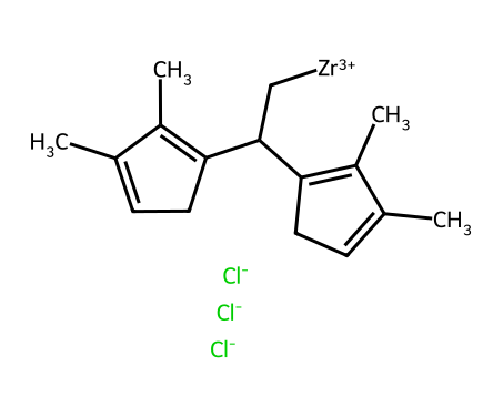 CC1=CCC(C([CH2][Zr+3])C2=C(C)C(C)=CC2)=C1C.[Cl-].[Cl-].[Cl-]